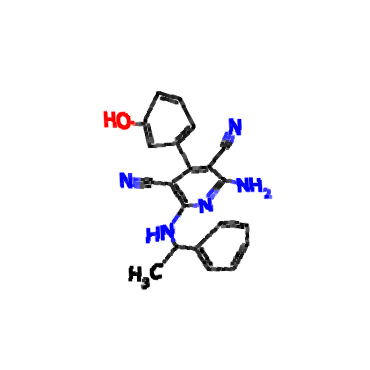 CC(Nc1nc(N)c(C#N)c(-c2cccc(O)c2)c1C#N)c1ccccc1